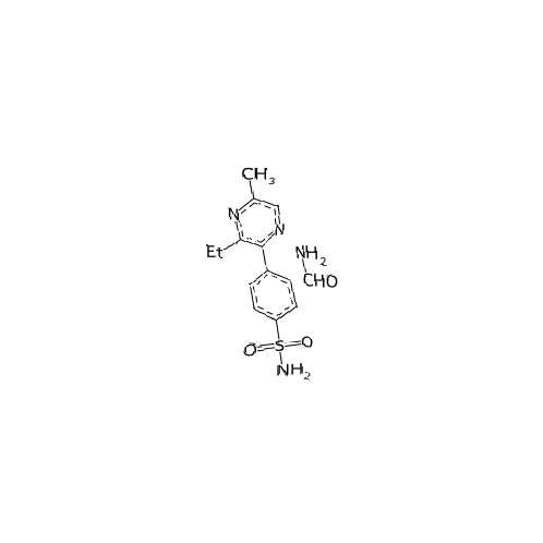 CCc1nc(C)cnc1-c1ccc(S(N)(=O)=O)cc1.NC=O